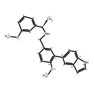 COc1cccc([C@@H](C)NCc2ccc(OC)c(-c3ccc4[nH]ccc4c3)c2)c1